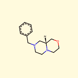 c1ccc(CN2CCN3CCOC[C@H]3C2)cc1